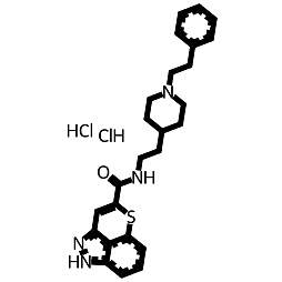 Cl.Cl.O=C(NCCC1CCN(CCc2ccccc2)CC1)C1=Cc2n[nH]c3cccc(c23)S1